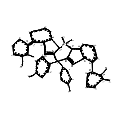 Cc1ccc(C2(c3ccc(C)cc3)C3=Cc4c(-c5cccc(C)c5C)cccc4[CH]3[Hf]([CH3])([CH3])[CH]3C2=Cc2c(-c4cccc(C)c4C)cccc23)cc1